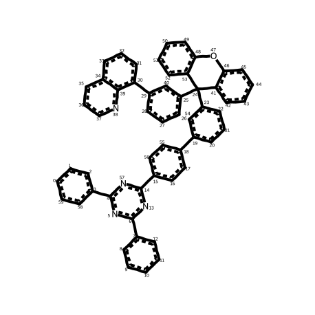 c1ccc(-c2nc(-c3ccccc3)nc(-c3ccc(-c4cccc(C5(c6cccc(-c7cccc8cccnc78)c6)c6ccccc6Oc6ccccc65)c4)cc3)n2)cc1